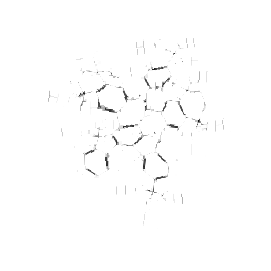 CC(C)(C)c1ccc(N2B3c4cc5c(cc4-n4c6ccc(C(C)(C)C)cc6c6c7c(c(c3c64)-c3cc4c(cc32)C(C)(C)CCC4(C)C)C(C)(C)c2ccccc2-7)C(C)(C)CCC5(C)C)cc1